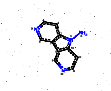 Nn1c2ccncc2c2cnccc21